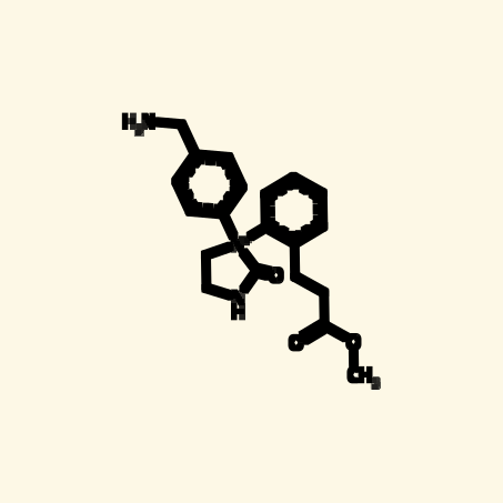 COC(=O)CCc1ccccc1[N+]1(c2ccc(CN)cc2)CCNC1=O